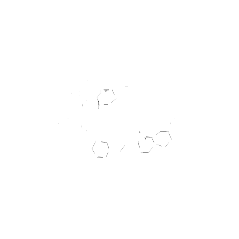 CC(C)(O)c1ccccc1CCC(SCC1CC1)c1cccc(/C=C/c2ccc3ccc(Cl)cc3n2)c1.[KH]